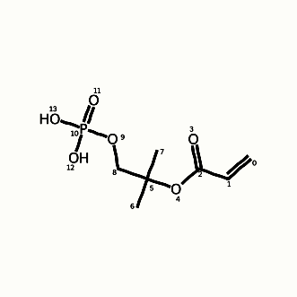 C=CC(=O)OC(C)(C)COP(=O)(O)O